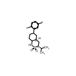 CC(C)[C@@H]1C[C@@H]2CC(c3cc(F)ccc3F)CCC2NS1(=O)=O